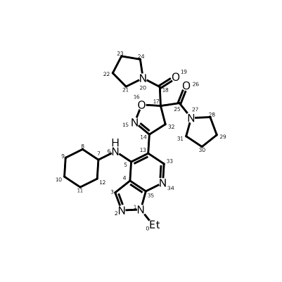 CCn1ncc2c(NC3CCCCC3)c(C3=NOC(C(=O)N4CCCC4)(C(=O)N4CCCC4)C3)cnc21